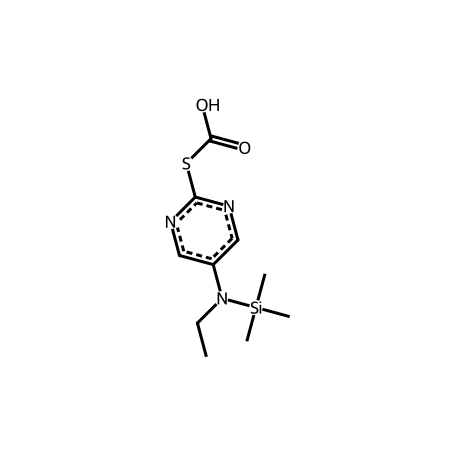 CCN(c1cnc(SC(=O)O)nc1)[Si](C)(C)C